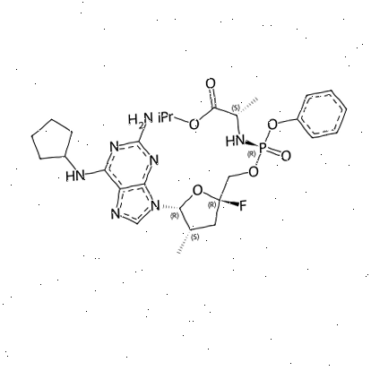 CC(C)OC(=O)[C@H](C)N[P@@](=O)(OC[C@]1(F)C[C@H](C)[C@H](n2cnc3c(NC4CCCC4)nc(N)nc32)O1)Oc1ccccc1